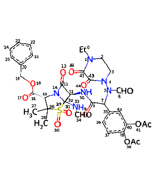 CCN1CCN(N(C=O)C(C(=O)N[C@@H]2C(=O)N3[C@@H](C(=O)OCc4ccccc4)C(C)(C)S(=O)(=O)C23NC=O)c2ccc(OC(C)=O)c(OC(C)=O)c2)C(=O)C1=O